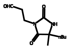 CCCCC1(C)NC(=O)N(CCC=O)C1=O